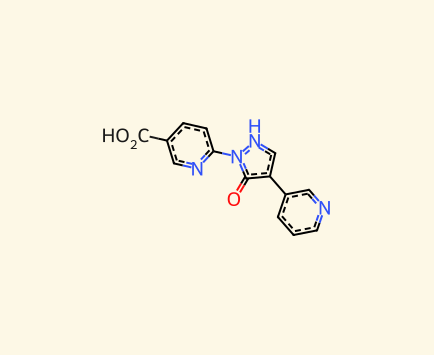 O=C(O)c1ccc(-n2[nH]cc(-c3cccnc3)c2=O)nc1